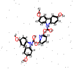 COc1ccc2c(c1)c1cc(OC)ccc1n2C(=O)Oc1cccc(OC(=O)n2c3ccc(OC)cc3c3cc(OC)ccc32)n1